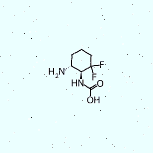 N[C@@H]1CCCC(F)(F)[C@H]1NC(=O)O